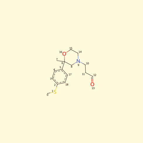 CSc1ccc(C2(C)CN(CCC=O)CCO2)cc1